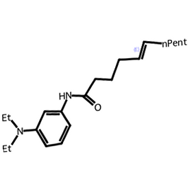 CCCCC/C=C/CCCC(=O)Nc1cccc(N(CC)CC)c1